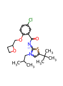 CC(C)Cn1cc(C(C)(C)C)s/c1=N\C(=O)c1cc(Cl)ccc1OCC1CCO1